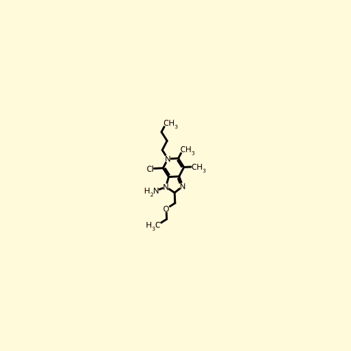 CCCCN1C(C)=C(C)C2=NC(COCC)N(N)C2=C1Cl